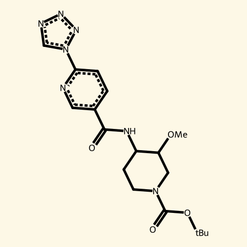 COC1CN(C(=O)OC(C)(C)C)CCC1NC(=O)c1ccc(-n2cnnn2)nc1